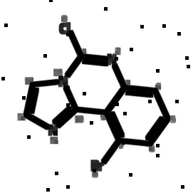 Clc1nc2cccc(Br)c2c2nccn12